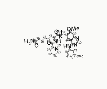 C#Cc1cccc(Nc2ncnc3cc(OC)c(CNC(=O)[C@H](CCCCCC(N)=O)NC(=O)C4CCCCN4C)cc23)c1